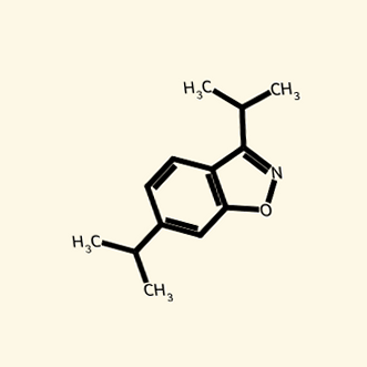 CC(C)c1ccc2c(C(C)C)noc2c1